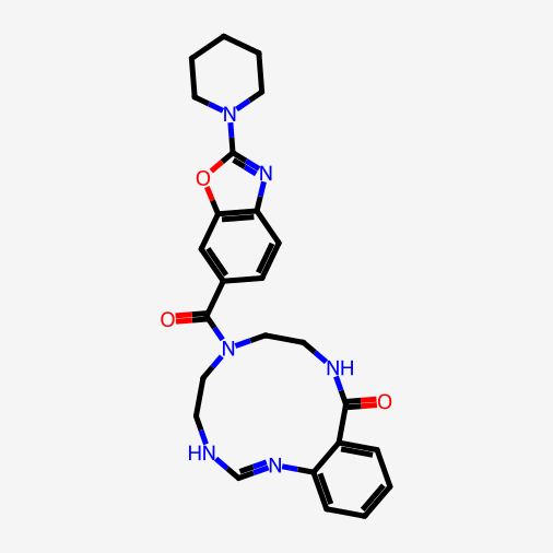 O=C1NCCN(C(=O)c2ccc3nc(N4CCCCC4)oc3c2)CCN/C=N/c2ccccc21